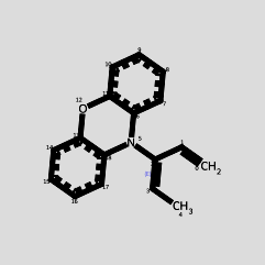 C=C/C(=C\C)N1c2ccccc2Oc2ccccc21